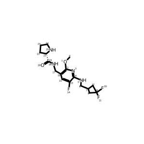 COc1nc(NCC2CC(F)(F)C2)c(F)cc1CNC(=O)[C@@H]1CCCN1